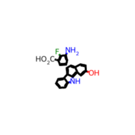 Nc1cccc(C(=O)O)c1F.Oc1ccc2ccc3c4ccccc4[nH]c3c2c1